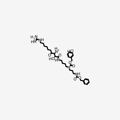 Cl.N=C(N)NCCCCCCC(=O)C(N)C(O)C(=O)NCCCCN(CCCNC(=O)OCc1ccccc1)C(=O)OCc1ccccc1